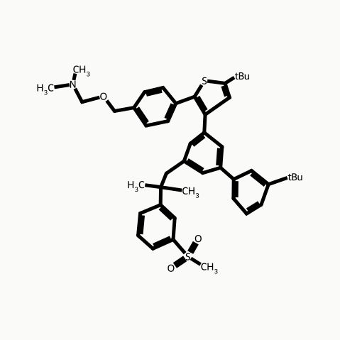 CN(C)COCc1ccc(-c2sc(C(C)(C)C)cc2-c2cc(CC(C)(C)c3cccc(S(C)(=O)=O)c3)cc(-c3cccc(C(C)(C)C)c3)c2)cc1